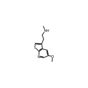 CNCCc1csc2ncc(OC)cc12